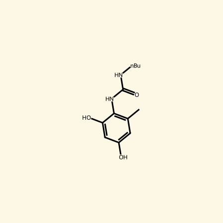 CCCCNC(=O)Nc1c(C)cc(O)cc1O